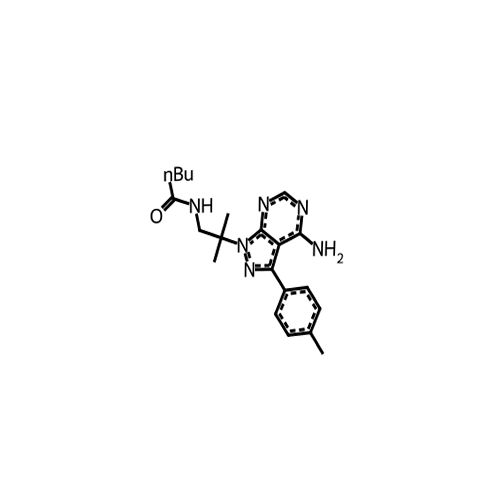 CCCCC(=O)NCC(C)(C)n1nc(-c2ccc(C)cc2)c2c(N)ncnc21